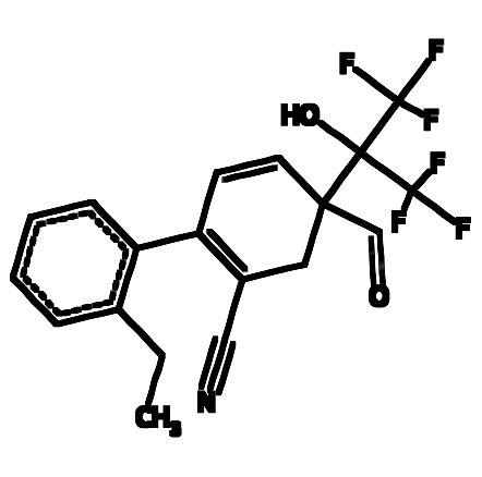 CCc1ccccc1C1=C(C#N)CC(C=O)(C(O)(C(F)(F)F)C(F)(F)F)C=C1